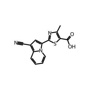 Cc1nc(-c2cc(C#N)c3ccccn23)sc1C(=O)O